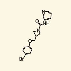 O=C(Nc1cccnc1)N1CC(COc2ccc(Br)cc2)C1